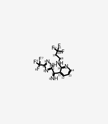 N=C(c1nc(C(F)(F)F)n[nH]1)c1cccnc1NCCC(F)(F)F